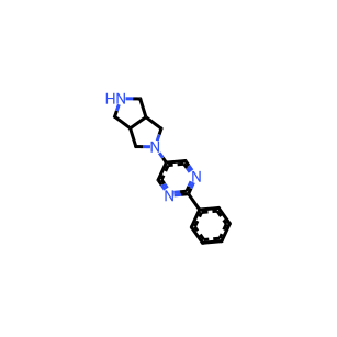 c1ccc(-c2ncc(N3CC4CNCC4C3)cn2)cc1